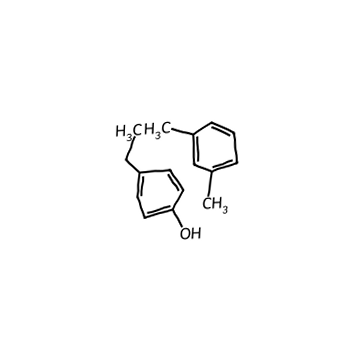 CCc1ccc(O)cc1.Cc1cccc(C)c1